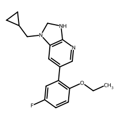 CCOc1ccc(F)cc1-c1cnc2c(c1)N(CC1CC1)CN2